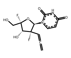 C=C=C[C@]1(F)[C@H](n2ccc(=O)[nH]c2=O)O[C@](F)(CO)[C@H]1O